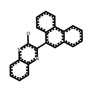 Clc1nc2ccccc2nc1-c1cc2ccccc2c2ccccc12